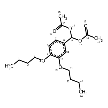 CCCCOc1ccc(C(OC(C)=O)OC(C)=O)cc1OCCCC